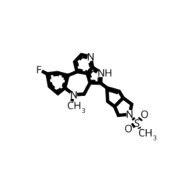 CN1Cc2c(C3=CC4CN(S(C)(=O)=O)CC4C3)[nH]c3nccc(c23)-c2cc(F)ccc21